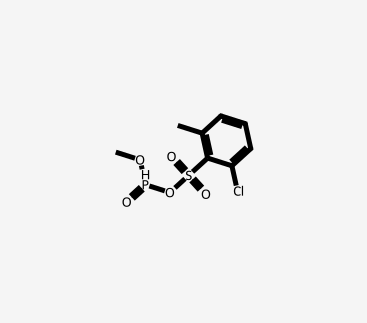 CO[PH](=O)OS(=O)(=O)c1c(C)cccc1Cl